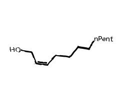 CCCCCCCCC/C=[C]\CO